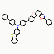 c1ccc(-c2ccc(N(c3ccc(-c4ccc5c(c4)oc4ccc6nc(-c7ccccc7)oc6c45)cc3)c3ccc4c(c3)sc3ccccc34)cc2)cc1